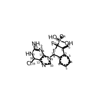 C=C(c1ccccc1Cn1cnc2c1N=C(N)NC2Cl)C(F)(F)P(=O)(O)O